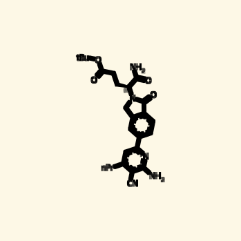 CCCc1cc(-c2ccc3c(c2)CN([C@@H](CCC(=O)OC(C)(C)C)C(N)=O)C3=O)nc(N)c1C#N